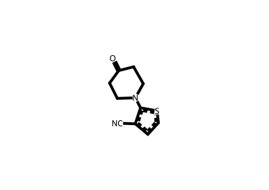 N#Cc1ccsc1N1CCC(=O)CC1